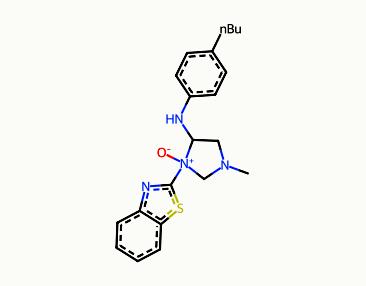 CCCCc1ccc(NC2CN(C)C[N+]2([O-])c2nc3ccccc3s2)cc1